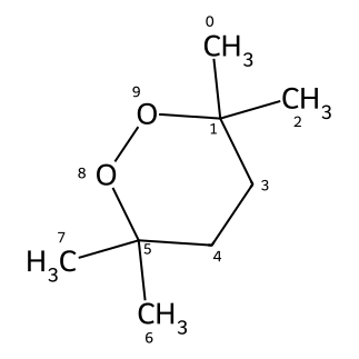 CC1(C)CCC(C)(C)OO1